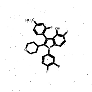 O=C(O)c1ccc(-c2c(C3CCOCC3)n(-c3ccc(F)c(F)c3)c3ccc(F)c(O)c23)c(F)c1